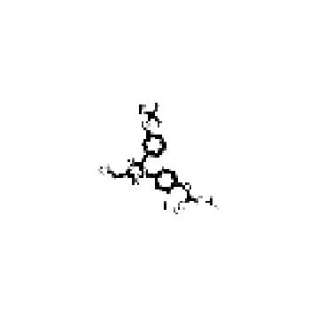 CC(C)Oc1ccc(-n2nc(CCl)nc2-c2cccc(OC(F)(F)F)c2)cc1